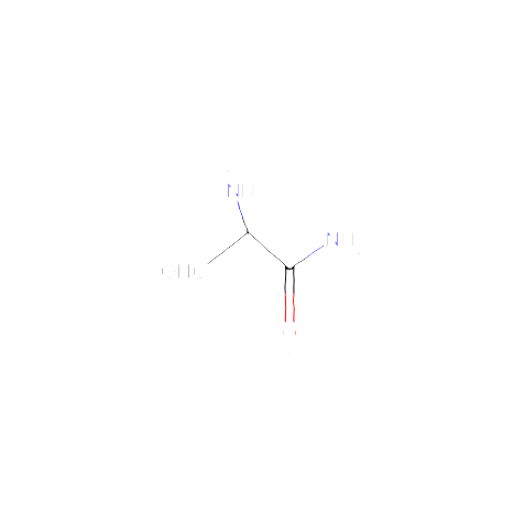 NC(=O)C(N)C=O